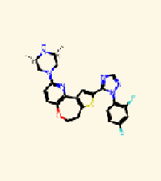 C[C@@H]1CN(c2ccc3c(n2)-c2cc(-c4ncnn4-c4ccc(F)cc4F)sc2CCO3)C[C@H](C)N1